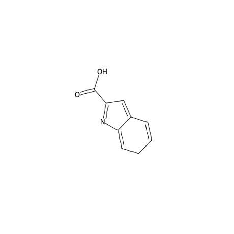 O=C(O)C1=NC2=CCC=CC2=C1